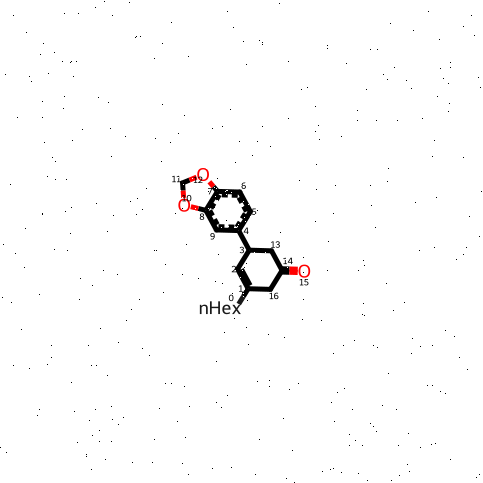 CCCCCCC1=CC(c2ccc3c(c2)OCO3)CC(=O)C1